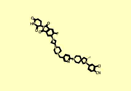 C[C@H]1CC2(CCN(c3ccc(CN4CCN(C5CN(c6cc7c(cc6F)C(=O)N(C6CCC(=O)NC6=O)C7=O)C5)CC4)cn3)CC2)CN1c1ccc(C#N)c(Cl)c1